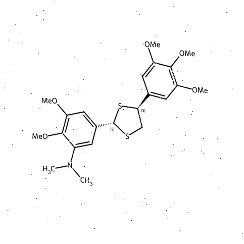 COc1cc([C@H]2CS[C@H](c3cc(OC)c(OC)c(N(C)C)c3)S2)cc(OC)c1OC